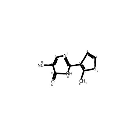 Cc1sccc1-c1ncc(C#N)c(=O)[nH]1